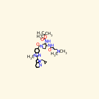 CN(C)C/C=C/C(=O)N[C@@H]1CCN(C(=O)c2ccc3c(c2)nc(-c2cc4cccnc4n2CC2CC2)n3C)C[C@@H]1NC(=O)OC(C)(C)C